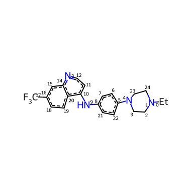 CCN1CCN(c2ccc(Nc3ccnc4cc(C(F)(F)F)ccc34)cc2)CC1